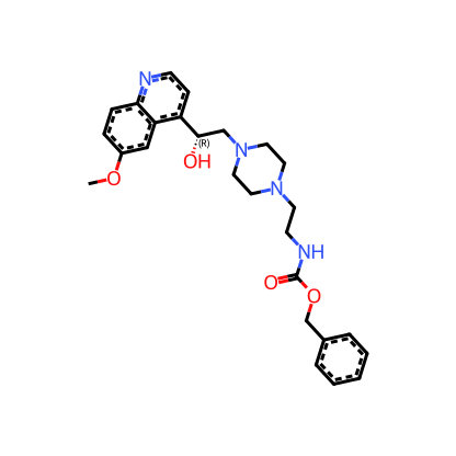 COc1ccc2nccc([C@@H](O)CN3CCN(CCNC(=O)OCc4ccccc4)CC3)c2c1